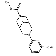 COc1cncc(N2CC3CN(C(=O)OC(C)(C)C)CC(C2)O3)c1